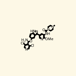 COc1ncc(-c2n[nH]c3ccc(O[C@H](N)c4c(Cl)cncc4Cl)cc23)cc1NC(=O)N1CCN(C)CC1